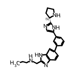 CCCNCc1nc2ccc(-c3cccc(-c4cnc([C@@H]5CCCN5)[nH]4)c3)cc2[nH]1